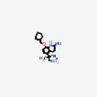 CC(C)(CN)c1ccc(OCC2CCCCC2)c2c1CCC(=N)N2